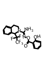 NC(=NOC(=O)c1ccccc1O)N1CCc2ccccc2C1C(F)(F)C(F)(F)F